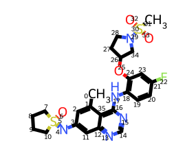 Cc1cc(N=S2(=O)CCCC2)cc2ncnc(Nc3ccc(F)cc3OC3CCN(S(C)(=O)=O)C3)c12